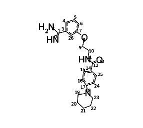 N=C(N)c1cccc(OCCNC(=O)c2ccc(N3CCCCC3)cc2)c1